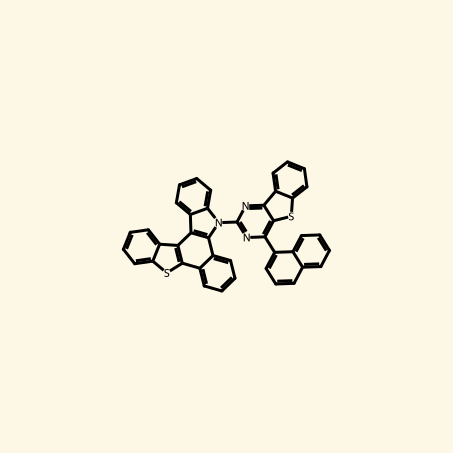 c1ccc2c(-c3nc(-n4c5ccccc5c5c6c7ccccc7sc6c6ccccc6c54)nc4c3sc3ccccc34)cccc2c1